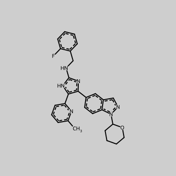 Cc1cccc(-c2[nH]c(NCc3ccccc3F)nc2-c2ccc3c(cnn3C3CCCCO3)c2)n1